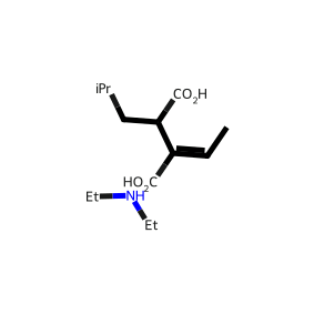 CC=C(C(=O)O)C(CC(C)C)C(=O)O.CCNCC